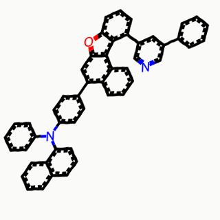 c1ccc(-c2cncc(-c3cccc4oc5cc(-c6ccc(N(c7ccccc7)c7cccc8ccccc78)cc6)c6ccccc6c5c34)c2)cc1